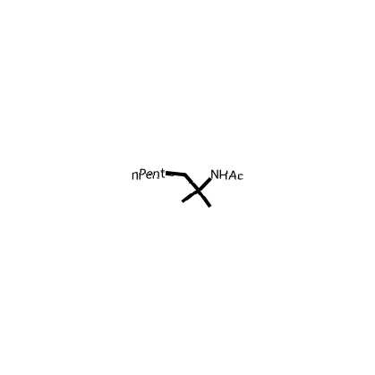 CCCCCCC(C)(C)NC(C)=O